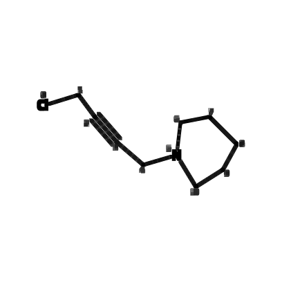 ClCC#CCN1CCCCC1